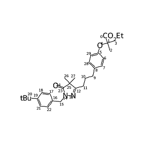 CCOC(=O)C(C)(C)Oc1ccc(CCCC2=NN(Cc3ccc(C(C)(C)C)cc3)C(=O)C2(C)C)cc1